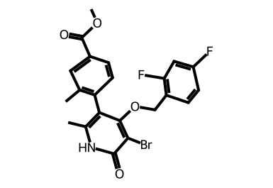 COC(=O)c1ccc(-c2c(C)[nH]c(=O)c(Br)c2OCc2ccc(F)cc2F)c(C)c1